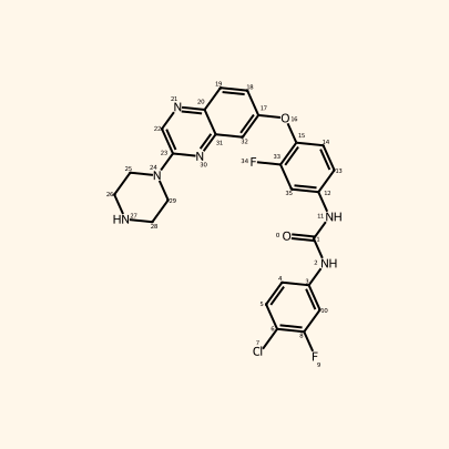 O=C(Nc1ccc(Cl)c(F)c1)Nc1ccc(Oc2ccc3ncc(N4CCNCC4)nc3c2)c(F)c1